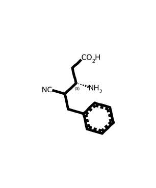 N#CC(Cc1ccccc1)[C@@H](N)CC(=O)O